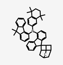 CC1(C)CCC(C)(C)c2cc(N(c3cccc4c3-c3ccccc3C4(C)C)c3cccc4c3-c3ccccc3C43C4CC5CC6CC3C64C5)ccc21